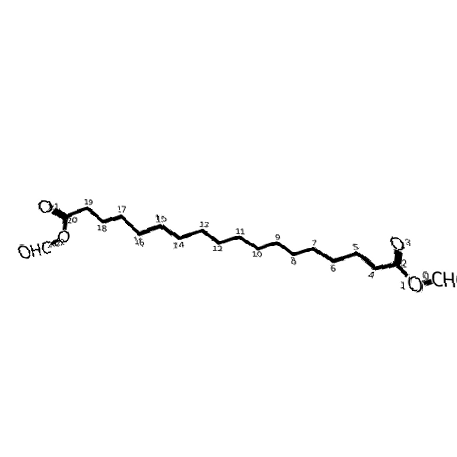 O=COC(=O)CCCCCCCCCCCCCCCCC(=O)OC=O